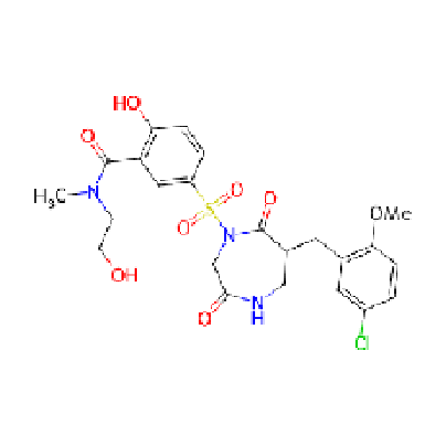 COc1ccc(Cl)cc1CC1CNC(=O)CN(S(=O)(=O)c2ccc(O)c(C(=O)N(C)CCO)c2)C1=O